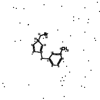 Cc1cccc(Cc2ccn(CBr)c2)c1